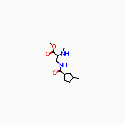 CNC(CNC(=O)C1CCC(C)C1)C(=O)OC